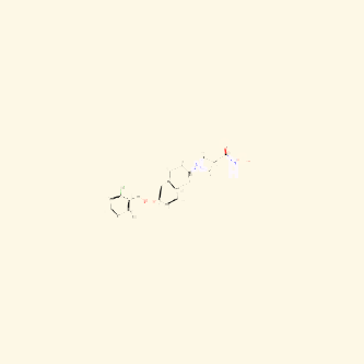 CCONC(=O)C1CN(C2CCc3cc(OCc4c(Cl)cccc4CC)ccc3C2)C1